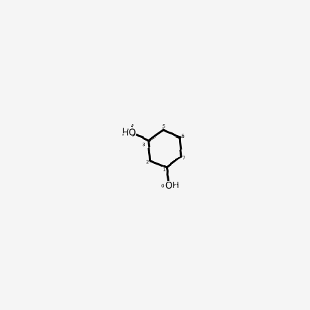 OC1[CH]C(O)CCC1